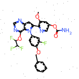 COc1cc(OC(N)=O)cnc1-c1cc2ncnc(OC(F)C(F)F)c2n1-c1ccc(OCc2ccccc2)c(F)c1